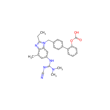 CCc1nc2c(C)cc(NC(=NC#N)N(C)C)cc2n1Cc1ccc(-c2ccccc2OC(=O)O)cc1